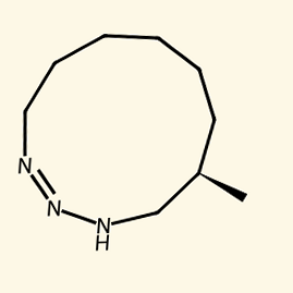 C[C@@H]1CCCCCC/N=N\NC1